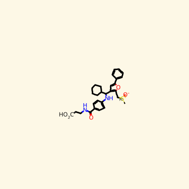 C[S@+]([O-])Cc1oc(-c2ccccc2)cc1C(Nc1ccc(C(=O)NCCC(=O)O)cc1)C1CCCCC1